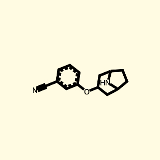 N#Cc1cccc(OC2CC3CCC(C2)N3)c1